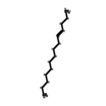 [CH2]CCC=CCCCCCCCCC